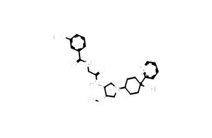 CCO[C@@H]1CN(C2CCC(O)(c3ccccn3)CC2)C[C@@H]1NC(=O)CNC(=O)c1cccc(C(F)(F)F)c1